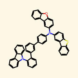 c1cc(-c2ccc(N(c3ccc4oc5ccccc5c4c3)c3ccc4sc5ccccc5c4c3)cc2)cc(-c2ccccc2-n2c3ccccc3c3ccccc32)c1